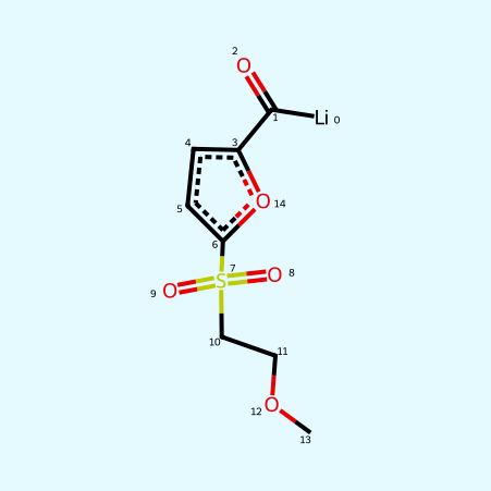 [Li][C](=O)c1ccc(S(=O)(=O)CCOC)o1